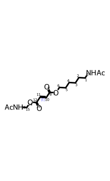 CC(=O)NCCCCCCOC(=O)/C=C/C(=O)OCNC(C)=O